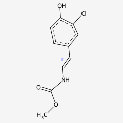 COC(=O)N/C=C/c1ccc(O)c(Cl)c1